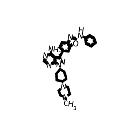 CN1CCN([C@H]2CC[C@H](n3nc(-c4ccc5nc(Nc6ccccc6)oc5c4)c4c(N)ncnc43)CC2)CC1